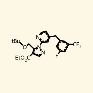 CCOC(=O)c1cnn(-c2cc(Cc3cc(F)cc(C(F)(F)F)c3)ccn2)c1COC(C)(C)C